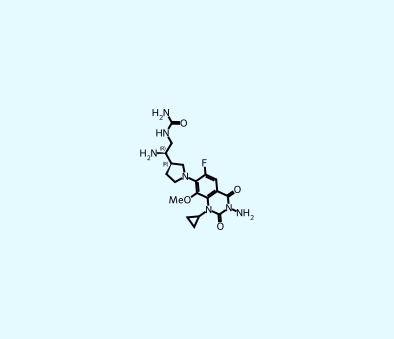 COc1c(N2CC[C@@H]([C@@H](N)CNC(N)=O)C2)c(F)cc2c(=O)n(N)c(=O)n(C3CC3)c12